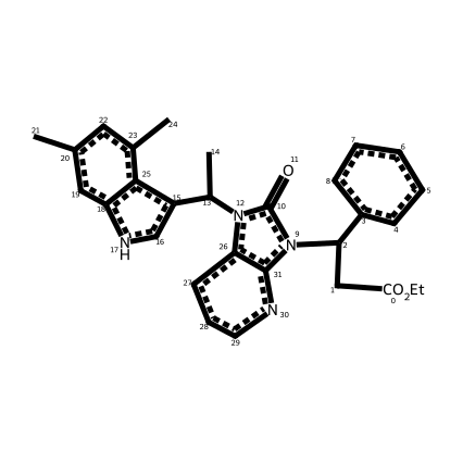 CCOC(=O)CC(c1ccccc1)n1c(=O)n(C(C)c2c[nH]c3cc(C)cc(C)c23)c2cccnc21